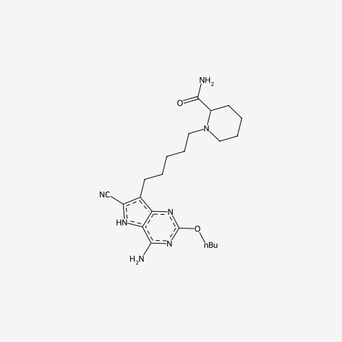 CCCCOc1nc(N)c2[nH]c(C#N)c(CCCCCN3CCCCC3C(N)=O)c2n1